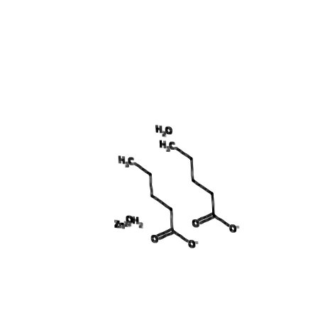 CCCCC(=O)[O-].CCCCC(=O)[O-].O.O.[Zn+2]